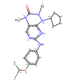 CCN1C(=O)N(C)c2cnc(Nc3ccc(SC(F)F)cc3)nc2N1C1CCCC1